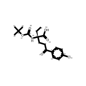 CC[C@@](CCC(=O)c1ccc(Cl)cc1)(NC(=O)OC(C)(C)C)C(=O)O